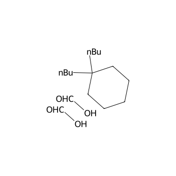 CCCCC1(CCCC)CCCCC1.O=CO.O=CO